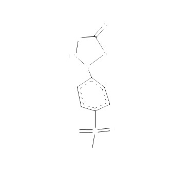 CS(=O)(=O)c1ccc(N2NOC(=N)N2)cc1.Cl